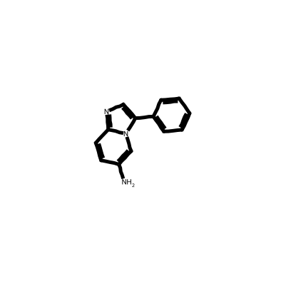 Nc1ccc2ncc(-c3ccccc3)n2c1